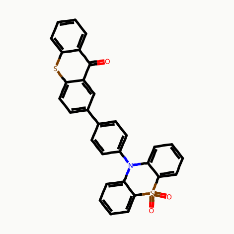 O=c1c2ccccc2sc2ccc(-c3ccc(N4c5ccccc5S(=O)(=O)c5ccccc54)cc3)cc12